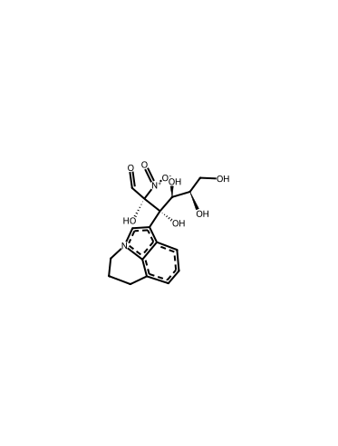 O=C[C@@](O)([N+](=O)[O-])[C@](O)(c1cn2c3c(cccc13)CCC2)[C@@H](O)[C@H](O)CO